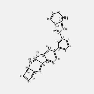 Cc1c(-c2cccc(-c3cn4c(n3)NCC=C4)c2)ccc2c1oc1nc3ccccc3cc12